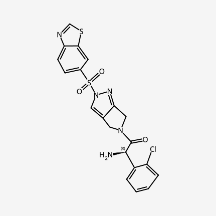 N[C@@H](C(=O)N1Cc2cn(S(=O)(=O)c3ccc4ncsc4c3)nc2C1)c1ccccc1Cl